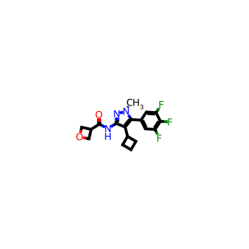 Cn1nc(NC(=O)C2COC2)c(C2CCC2)c1-c1cc(F)c(F)c(F)c1